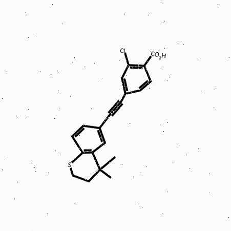 CC1(C)CCSc2ccc(C#Cc3ccc(C(=O)O)c(Cl)c3)cc21